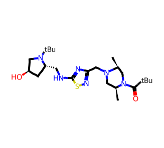 C[C@H]1CN(C(=O)C(C)(C)C)[C@@H](C)CN1Cc1nsc(NC[C@@H]2C[C@@H](O)CN2C(C)(C)C)n1